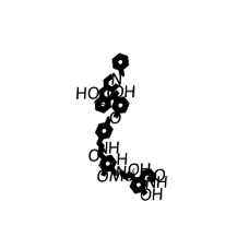 COc1cc(C(=O)NCc2ccc(COc3cccc([C@@](O)(C(=O)O)c4ccccc4CC4CCN(Cc5ccccc5)CC4)c3)cc2)ccc1CNC[C@H](O)c1ccc(O)c2[nH]c(=O)ccc12